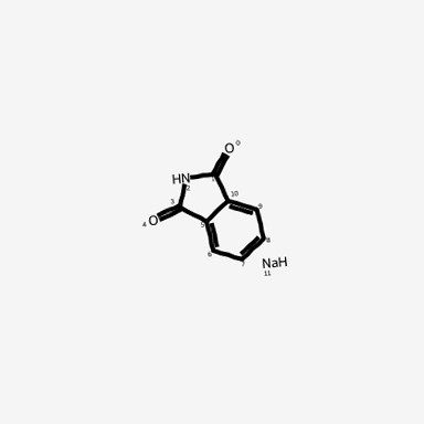 O=C1NC(=O)c2ccccc21.[NaH]